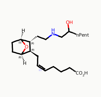 CCCCCC(O)CNCC[C@@H]1[C@@H](C/C=C\CCCC(=O)O)[C@H]2CC[C@@H]1O2